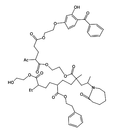 CCC(CCC(CCC(C)(CC(C)N1CCCCCC1=O)C(=O)OCCOC(=O)C(CCC(=O)OCCOc1ccc(C(=O)c2ccccc2)c(O)c1)C(C)=O)C(=O)OCCc1ccccc1)C(=O)OCCO